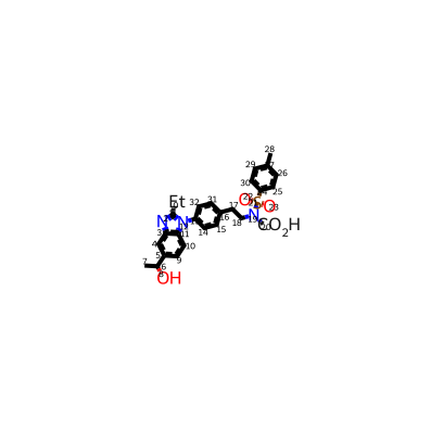 CCc1nc2cc(C(C)O)ccc2n1-c1ccc(CCN(C(=O)O)S(=O)(=O)c2ccc(C)cc2)cc1